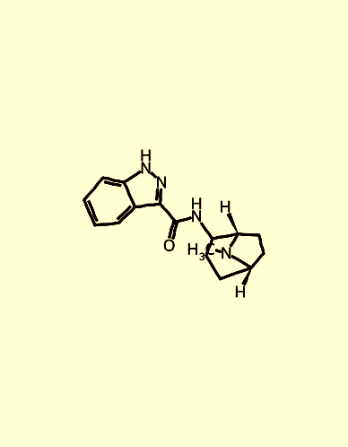 CN1[C@H]2CCC(NC(=O)c3n[nH]c4ccccc34)[C@@H]1CC2